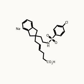 O=C(O)CCC=CCC1(CCNS(=O)(=O)c2ccc(Cl)cc2)Cc2ccccc2C1.[Na]